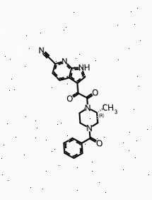 C[C@@H]1CN(C(=O)c2ccccc2)CCN1C(=O)C(=O)c1c[nH]c2nc(C#N)ccc12